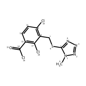 Cn1nnnc1SCc1c(Cl)ccc(C(=O)Cl)c1Cl